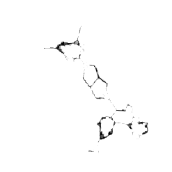 COc1ccc(C(=O)N2CC3CN(c4nc(C)cc(C)n4)CC3C2)c(-c2ncco2)c1